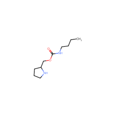 CCCCNC(=O)OCC1CCCN1